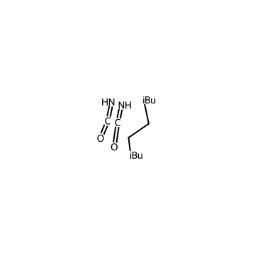 CCC(C)CCC(C)CC.N=C=O.N=C=O